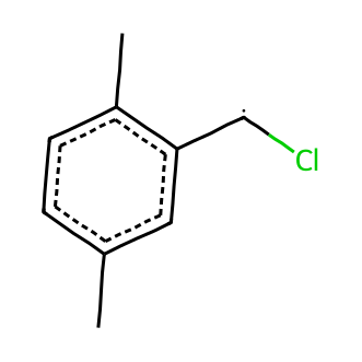 Cc1ccc(C)c([CH]Cl)c1